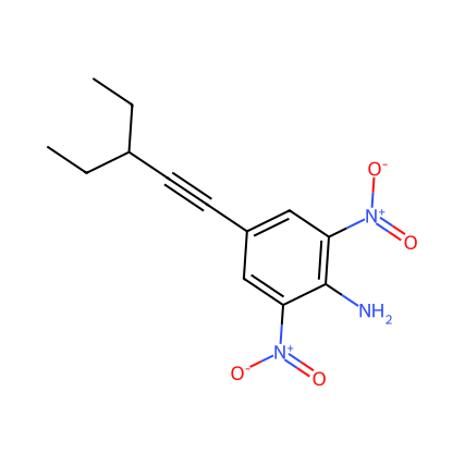 CCC(C#Cc1cc([N+](=O)[O-])c(N)c([N+](=O)[O-])c1)CC